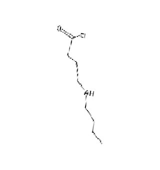 CCC[CH2][AlH][CH2]CCC(=O)Cl